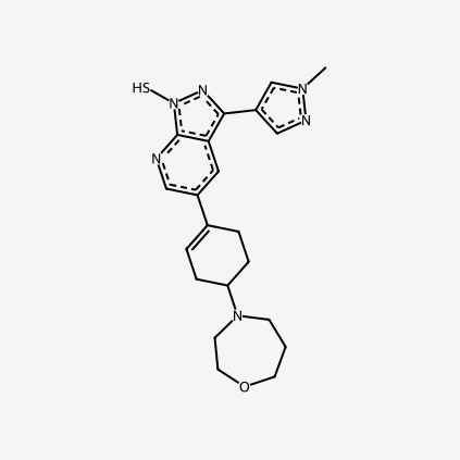 Cn1cc(-c2nn(S)c3ncc(C4=CCC(N5CCCOCC5)CC4)cc23)cn1